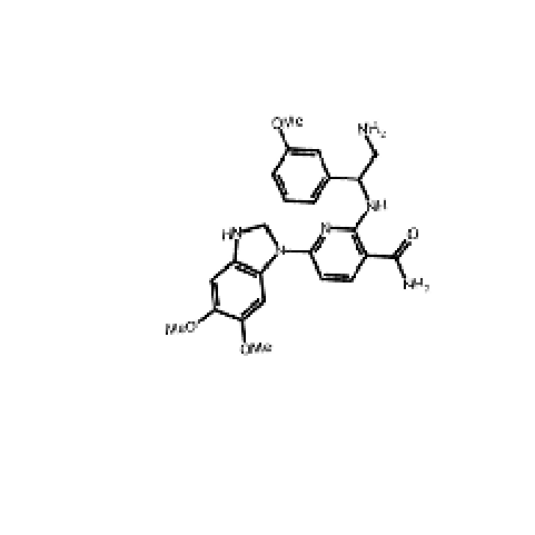 COc1cccc(C(CN)Nc2nc(N3CNc4cc(OC)c(OC)cc43)ccc2C(N)=O)c1